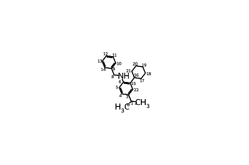 CC(C)c1ccc(NCc2ccccc2)c(C2CCCCC2)c1